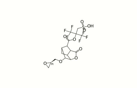 O=C(OC(CS(=O)(=O)O)(C(F)(F)F)C(F)(F)F)C1C2CC3C(OC(=O)C31)C2OC[C@H]1CO1